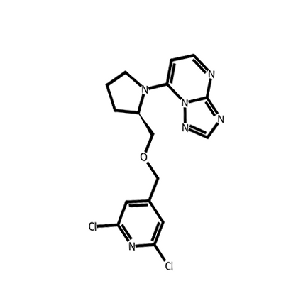 Clc1cc(COC[C@H]2CCCN2c2ccnc3ncnn23)cc(Cl)n1